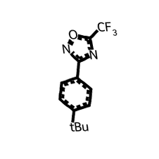 CC(C)(C)c1ccc(-c2noc(C(F)(F)F)n2)cc1